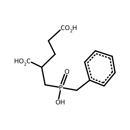 O=C(O)CCC(CP(=O)(O)Cc1ccccc1)C(=O)O